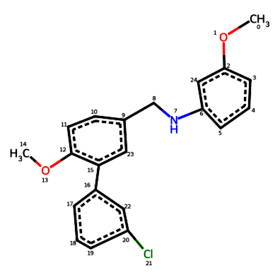 COc1cccc(NCc2ccc(OC)c(-c3cccc(Cl)c3)c2)c1